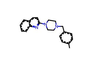 Cc1ccc(CN2CCN(c3ccc4ccc[c]c4n3)CC2)cc1